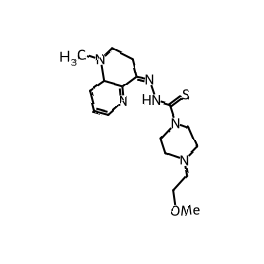 COCCN1CCN(C(=S)N/N=C2/CCN(C)C3CC=CN=C23)CC1